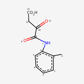 Cc1ccccc1NC(=O)C(=O)CC(=O)O